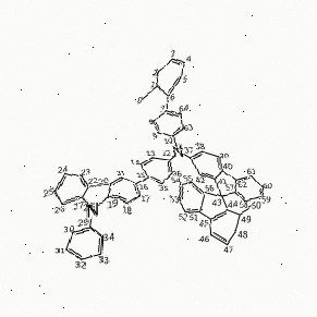 CC1CC=CC=C1c1ccc(N(c2ccc(-c3ccc4c(c3)c3ccccc3n4-c3ccccc3)cc2)c2ccc3c(c2)C2(C4=C(C=CCC4C)c4ccccc42)c2ccccc2-3)cc1